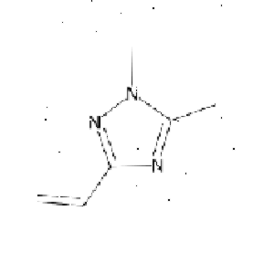 C=Cc1nc(C)n(C)n1